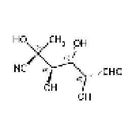 C[C@](O)(C#N)[C@H](O)[C@H](O)[C@@H](O)C=O